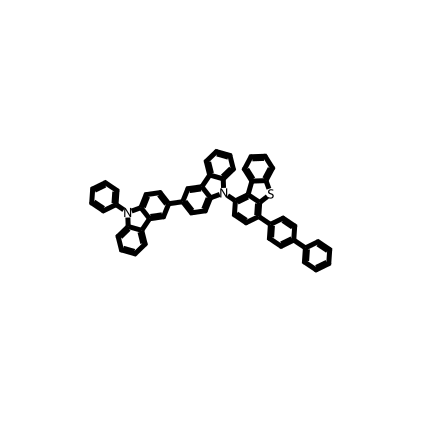 c1ccc(-c2ccc(-c3ccc(-n4c5ccccc5c5cc(-c6ccc7c(c6)c6ccccc6n7-c6ccccc6)ccc54)c4c3sc3ccccc34)cc2)cc1